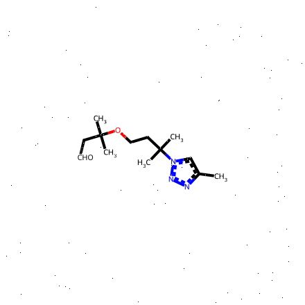 Cc1cn(C(C)(C)CCOC(C)(C)CC=O)nn1